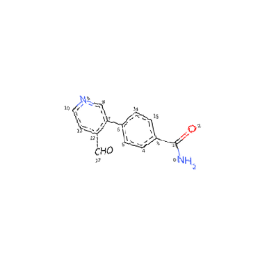 NC(=O)c1ccc(-c2cnccc2C=O)cc1